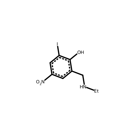 CCNCc1cc([N+](=O)[O-])cc(I)c1O